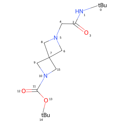 CC(C)(C)NC(=O)CN1CC2(C1)CN(C(=O)OC(C)(C)C)C2